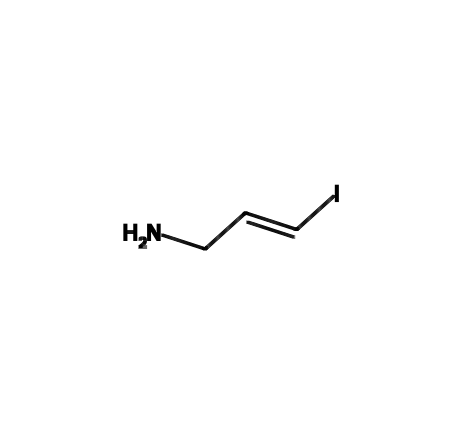 NC/C=C/I